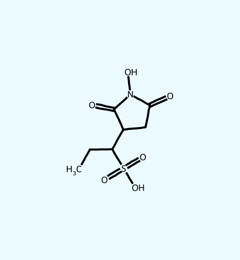 CCC(C1CC(=O)N(O)C1=O)S(=O)(=O)O